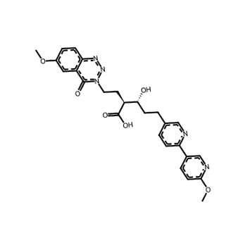 COc1ccc2nnn(CC[C@H](C(=O)O)[C@H](O)CCc3ccc(-c4ccc(OC)nc4)nc3)c(=O)c2c1